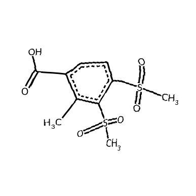 Cc1c(C(=O)O)ccc(S(C)(=O)=O)c1S(C)(=O)=O